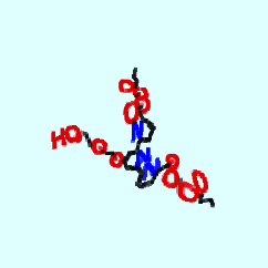 CCCC(=O)OCOC(=O)c1cccc(-c2cc(OCCOCCO)cc(-c3cccc(C(=O)OCOC(=O)CCC)n3)n2)n1